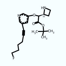 CC(C)(C)OC(=O)C(Oc1cncc(C#CCCCCF)c1)[C@@H]1CCN1